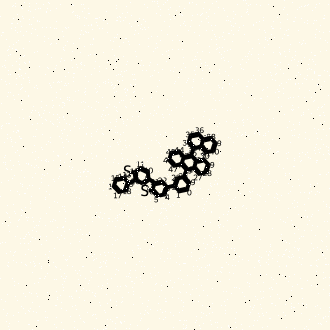 c1cc(-c2ccc3sc4c(ccc5sc6ccccc6c54)c3c2)cc(-c2c3ccccc3c(-c3cccc4ccccc34)c3ccccc23)c1